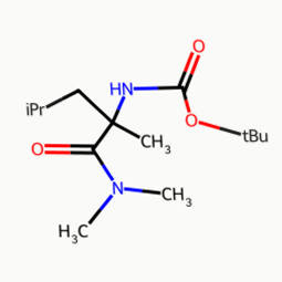 CC(C)CC(C)(NC(=O)OC(C)(C)C)C(=O)N(C)C